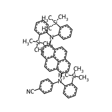 C[Si](C)(C)c1ccccc1N(c1ccc(C#N)cc1)c1ccc2ccc3c(N(c4ccccc4[Si](C)(C)C)c4ccccc4[Si](C)(C)C)ccc4ccc1c2c43